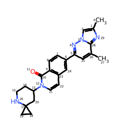 Cc1cn2nc(-c3ccc4c(=O)n(C5CCNC6(CC6)C5)ccc4c3)cc(C)c2n1